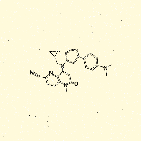 CN(C)c1ccc(-c2cccc(N(CC3CC3)c3cc(=O)n(C)c4ccc(C#N)nc34)c2)cc1